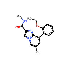 CC(C)(C)NC(=O)c1cn2cc(C#N)cc(-c3ccccc3OCC(F)(F)F)c2n1